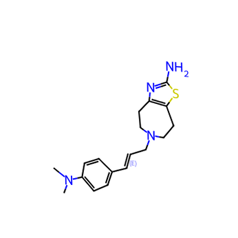 CN(C)c1ccc(/C=C/CN2CCc3nc(N)sc3CC2)cc1